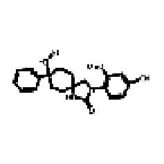 CCNC1(c2ccccc2)CCC2(CC1)CN(c1ccc(C#N)cc1OC)C(=O)N2